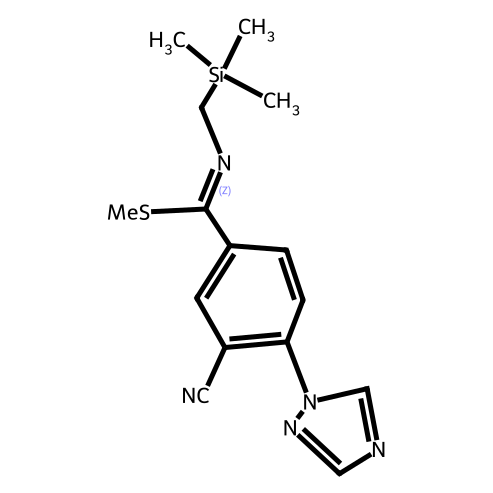 CS/C(=N\C[Si](C)(C)C)c1ccc(-n2cncn2)c(C#N)c1